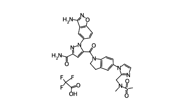 CN(Cc1nccn1-c1ccc2c(c1)CCN2C(=O)c1cc(C(N)=O)nn1-c1ccc2onc(N)c2c1)S(C)(=O)=O.O=C(O)C(F)(F)F